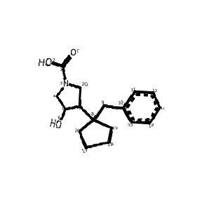 O=C(O)N1CC(O)C(C2(Cc3ccccc3)CCCC2)C1